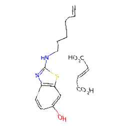 C=CCCCCNc1nc2ccc(O)cc2s1.O=C(O)C=CC(=O)O